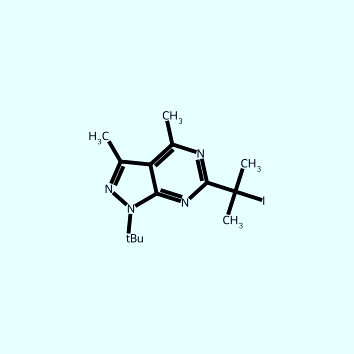 Cc1nc(C(C)(C)I)nc2c1c(C)nn2C(C)(C)C